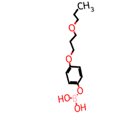 CCCOCCCOc1ccc(OB(O)O)cc1